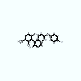 Nc1ccc(F)c(-c2c(=O)ncn3nc(Sc4ccc(F)cc4)ccc23)c1Cl